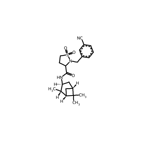 C[C@@H]1[C@@H](NC(=O)C2CCS(=O)(=O)N2Cc2cccc(C#N)c2)C[C@H]2C[C@@H]1C2(C)C